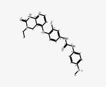 CCN1Cc2c(Oc3ccc(NC(=O)Nc4ccc(OC)cc4)cc3F)ccnc2NC1=O